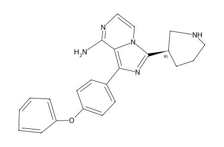 Nc1nccn2c([C@@H]3CCCNC3)nc(-c3ccc(Oc4ccccc4)cc3)c12